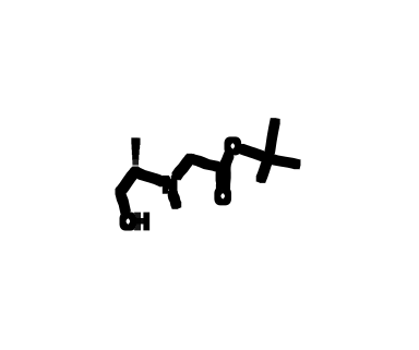 C[C@@H](CO)N(C)CC(=O)OC(C)(C)C